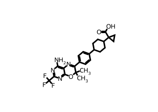 CC1(C)Oc2nc(C(F)(F)F)nc(N)c2N=C1c1ccc(C2CCC(C3(C(=O)O)CC3)CC2)cc1